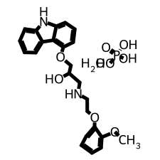 COc1ccccc1OCCNCC(O)COc1cccc2[nH]c3ccccc3c12.O.O=P(O)(O)O